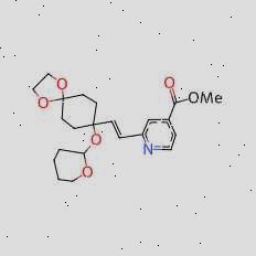 COC(=O)c1ccnc(/C=C/C2(OC3CCCCO3)CCC3(CC2)OCCO3)c1